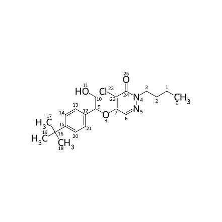 CCCCn1ncc(OC(CO)c2ccc(C(C)(C)C)cc2)c(Cl)c1=O